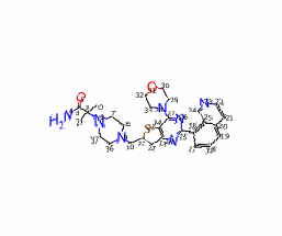 CC(C)(C(N)=O)N1CCN(CC2Cc3nc(-c4cccc5ccncc45)nc(N4CCOCC4)c3S2)CC1